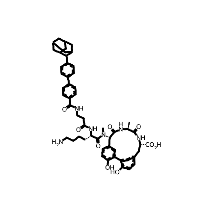 C[C@@H]1NC(=O)[C@@H](N(C)C(=O)[C@H](CCCCN)NC(=O)CCNC(=O)c2ccc(-c3ccc(C4C5CC6CC(C5)CC4C6)cc3)cc2)c2ccc(O)c(c2)-c2cc(ccc2O)C[C@@H](C(=O)O)NC1=O